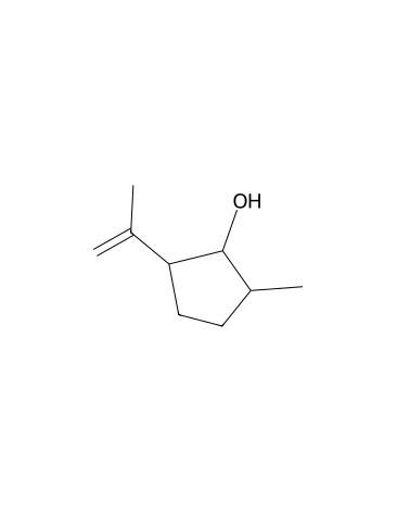 C=C(C)C1CCC(C)C1O